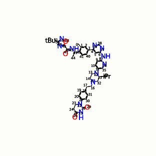 Cc1cc(-c2cc(Nc3ccc(N4CCN(CCc5ccc(N6CCC(=O)NC6=O)cc5)C[C@@H]4C(C)C)cn3)ncn2)ccc1[C@@H](C)NC(=O)c1nc(C(C)(C)C)no1